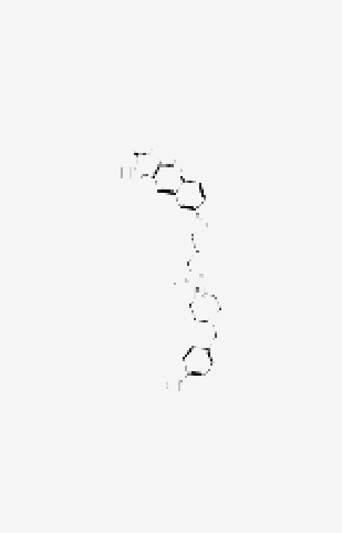 O=c1[nH]c2cc3cc(OCCCS(=O)(=O)N4CCN(Cc5ccc(Cl)cc5)CC4)ccc3nc2[nH]1